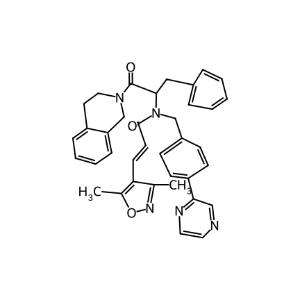 Cc1noc(C)c1C=CC(=O)N(Cc1ccc(-c2cnccn2)cc1)C(Cc1ccccc1)C(=O)N1CCc2ccccc2C1